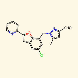 Cc1cc(C=O)nn1Cc1cc(Cl)cc2cc(-c3ccccn3)oc12